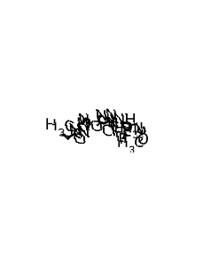 CO[C@H]1CCN(Cc2cc(Nc3nc4ncc(Oc5cnn6cc(N(C)C(=O)C7CC7)ncc56)c(Cl)c4n3C)cc(C(F)(F)F)c2)C1